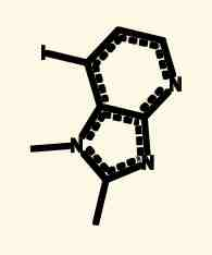 Cc1nc2nccc(I)c2n1C